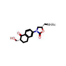 CC(=O)NC[C@H]1CN(c2ccc3c(c2)CC[C@H](CO)C3=O)C(=O)O1